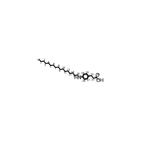 CCCCCCCCCCCCCCCCCNc1ccc(CCC(=O)O)cc1